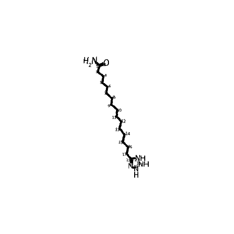 NC(=O)CCCCCCCCCCCCCCCC1=NNNN1